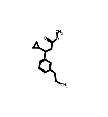 CCCc1cccc(C(CC(=O)OC)C2CC2)c1